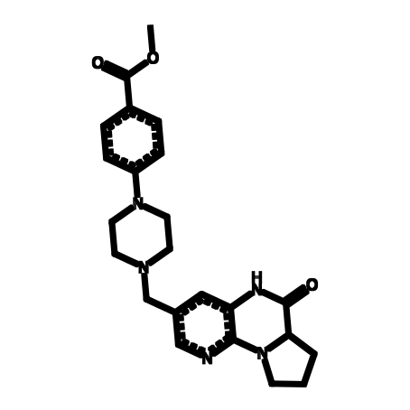 COC(=O)c1ccc(N2CCN(Cc3cnc4c(c3)NC(=O)C3CCCN43)CC2)cc1